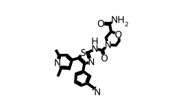 Cc1cc(-c2sc(NC(=O)N3CCOC(C(N)=O)C3)nc2-c2cccc(C#N)c2)cc(C)n1